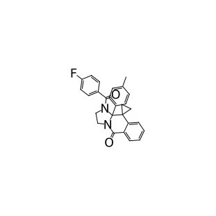 Cc1ccc(C23N(C(=O)c4ccc(F)cc4)CCN2C(=O)c2ccccc2C32CC2)cc1